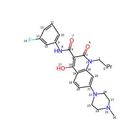 CC(C)Cn1c(=O)c(C(=O)Nc2cccc(F)c2)c(O)c2ccc(N3CCN(C)CC3)cc21